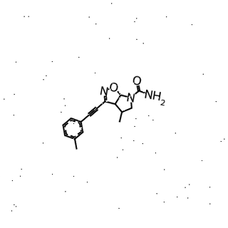 Cc1cccc(C#CC2=NOC3C2C(C)CN3C(N)=O)c1